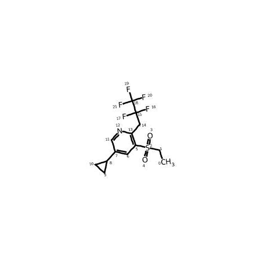 CCS(=O)(=O)c1cc(C2CC2)cnc1[CH]C(F)(F)C(F)(F)F